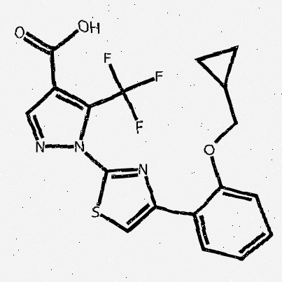 O=C(O)c1cnn(-c2nc(-c3ccccc3OCC3CC3)cs2)c1C(F)(F)F